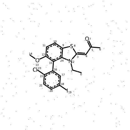 CCN1/C(=C/C(C)=O)Sc2ccc(OC)c(-c3cc(I)ccc3Cl)c21